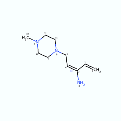 C=C/C(N)=C\CN1CCN(C)CC1